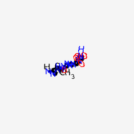 C[C@@H]1CN(c2ccc(C#N)c3ncccc23)[C@@H](C)CN1C(=O)Nc1ccc(N2CCN(c3ccc4c(c3)C(=O)N(C3CCC(=O)NC3=O)C4=O)CC2)nc1